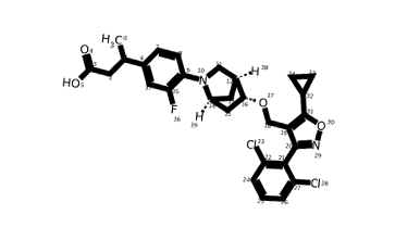 CC(CC(=O)O)c1ccc(N2C[C@@H]3C[C@H]2C[C@H]3OCc2c(-c3c(Cl)cccc3Cl)noc2C2CC2)c(F)c1